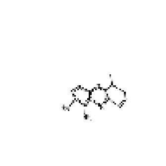 CC1CC=Cc2nc3c(C(C)(C)C)c(C(C)(C)C)ccc3nc21